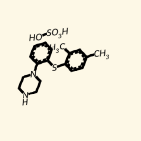 Cc1ccc(Sc2ccccc2N2CCNCC2)c(C)c1.O=S(=O)(O)O